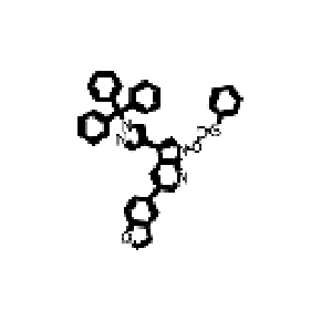 c1ccc(SOOn2cc(-c3cnn(C(c4ccccc4)(c4ccccc4)c4ccccc4)c3)c3cc(-c4ccc5c(c4)CCO5)cnc32)cc1